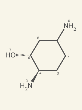 NC1CC[C@@H](N)[C@H](O)C1